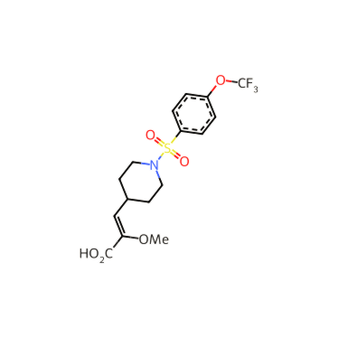 CO/C(=C\C1CCN(S(=O)(=O)c2ccc(OC(F)(F)F)cc2)CC1)C(=O)O